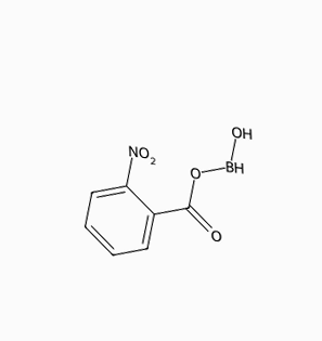 O=C(OBO)c1ccccc1[N+](=O)[O-]